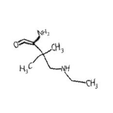 CCNCC(C)(C)C(N)=O